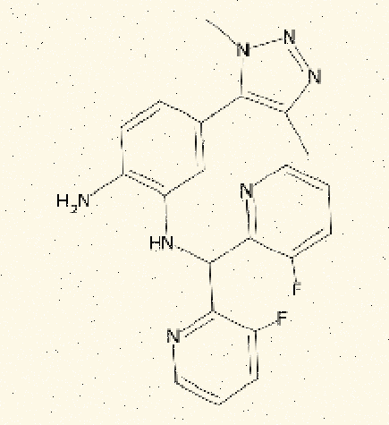 Cc1nnn(C)c1-c1ccc(N)c(NC(c2ncccc2F)c2ncccc2F)c1